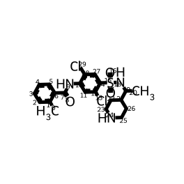 Cc1ccccc1C(=O)Nc1cc(Cl)c(S(=O)(=O)NC(C)C2CCNCC2)cc1Cl